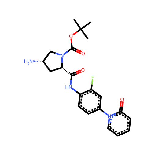 CC(C)(C)OC(=O)N1C[C@@H](N)C[C@H]1C(=O)Nc1ccc(-n2ccccc2=O)cc1F